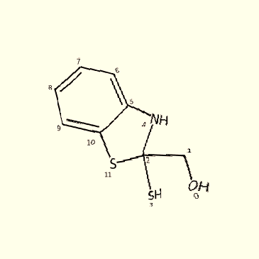 OCC1(S)Nc2ccccc2S1